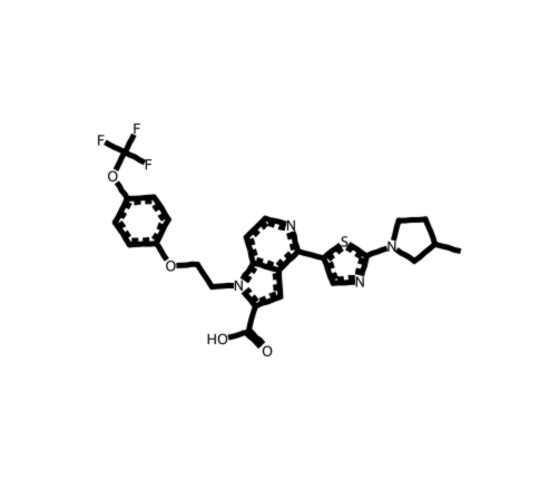 CC1CCN(c2ncc(-c3nccc4c3cc(C(=O)O)n4CCOc3ccc(OC(F)(F)F)cc3)s2)C1